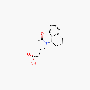 CC(=O)N(CCCC(=O)O)C1CCCc2ccccc21